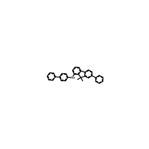 CC1(C)c2cc(-c3ccccc3)ccc2-c2cccc(Nc3ccc(-c4ccccc4)cc3)c21